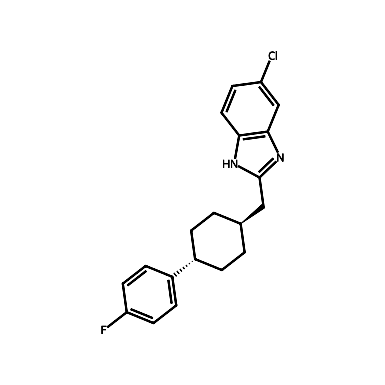 Fc1ccc([C@H]2CC[C@H](Cc3nc4cc(Cl)ccc4[nH]3)CC2)cc1